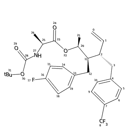 C=C[C@H](Cc1ccc(C(F)(F)F)cc1)[C@@H](Cc1ccc(F)cc1)[C@H](C)OC(=O)[C@H](C)NC(=O)OC(C)(C)C